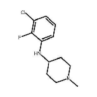 CN1CCC(Nc2cccc(Cl)c2F)CC1